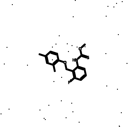 COC(=S)Nc1cccc(F)c1COc1ccc(C)cc1C